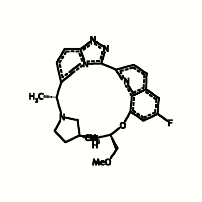 COC[C@H]1N[C@@]2(C)CCN(C2)[C@H](C)c2ccc3nnc(n3c2)-c2ccc3cc(F)cc(c3n2)O1